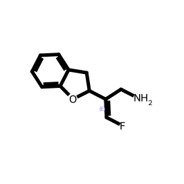 NC/C(=C\F)C1Cc2ccccc2O1